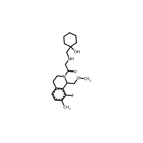 COCC1c2c(ccc(C)c2F)CCN1C(=O)CNCC1(O)CCCCC1